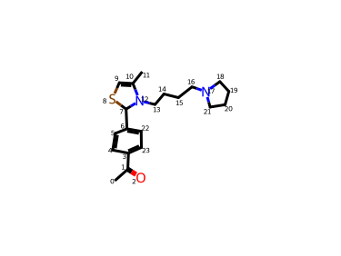 CC(=O)c1ccc(C2SC=C(C)N2CCCCN2CCCC2)cc1